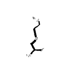 FC(COCCC(F)(F)F)C(F)(F)F